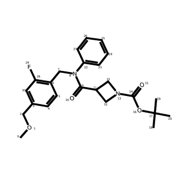 COCc1ccc(CN(C(=O)C2CN(C(=O)OC(C)(C)C)C2)c2ccccc2)c(F)c1